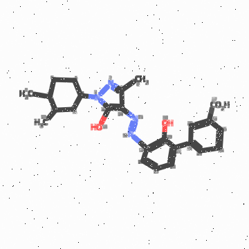 Cc1nn(C2CCC(C)C(C)C2)c(O)c1N=Nc1cccc(-c2cccc(C(=O)O)c2)c1O